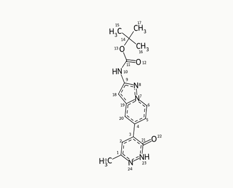 Cc1cc(-c2ccn3nc(NC(=O)OC(C)(C)C)cc3c2)c(=O)[nH]n1